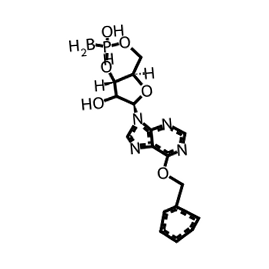 B[PH]1(O)OC[C@H]2O[C@@H](n3cnc4c(OCc5ccccc5)ncnc43)C(O)[C@@H]2O1